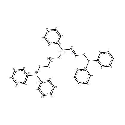 C(/CP(c1ccccc1)c1ccccc1)=N\[C@H](CNCCP(c1ccccc1)c1ccccc1)c1ccccc1